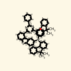 CC1(C)c2ccccc2-c2ccc(N(c3ccc4sc5cccc(-c6nc(-c7ccccc7)nc(-c7ccccc7)n6)c5c4c3)c3cccc4c3-c3ccccc3C4(C)C)cc21